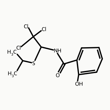 CC(C)SC(NC(=O)c1ccccc1O)C(Cl)(Cl)Cl